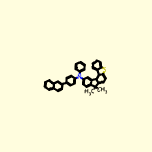 CC1(C)c2ccc(N(c3ccccc3)c3ccc(-c4ccc5ccccc5c4)cc3)cc2-c2c1ccc1sc3ccccc3c21